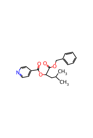 CC(C)CC(OC(=O)c1ccncc1)C(=O)OCc1ccccc1